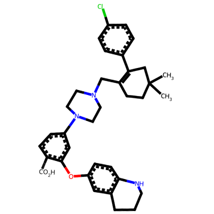 CC1(C)CCC(CN2CCN(c3ccc(C(=O)O)c(Oc4ccc5c(c4)CCCN5)c3)CC2)=C(c2ccc(Cl)cc2)C1